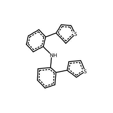 c1ccc(-c2ccsc2)c(Nc2ccccc2-c2ccsc2)c1